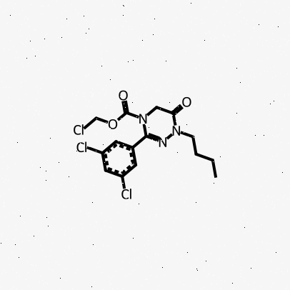 CCCCN1N=C(c2cc(Cl)cc(Cl)c2)N(C(=O)OCCl)CC1=O